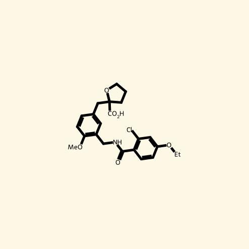 CCOc1ccc(C(=O)NCc2cc(CC3(C(=O)O)CCCO3)ccc2OC)c(Cl)c1